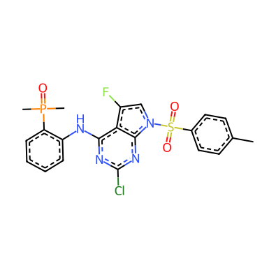 Cc1ccc(S(=O)(=O)n2cc(F)c3c(Nc4ccccc4P(C)(C)=O)nc(Cl)nc32)cc1